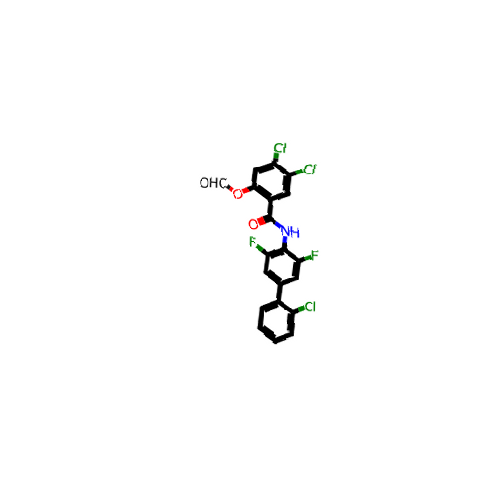 O=COc1cc(Cl)c(Cl)cc1C(=O)Nc1c(F)cc(-c2ccccc2Cl)cc1F